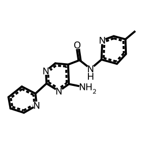 Cc1ccc(NC(=O)c2cnc(-c3ccccn3)nc2N)nc1